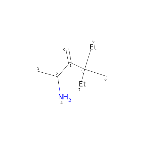 C=C(C(C)N)C(C)(CC)CC